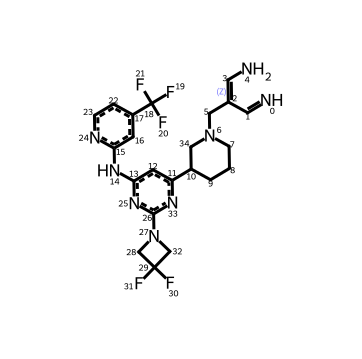 N=C/C(=C\N)CN1CCCC(c2cc(Nc3cc(C(F)(F)F)ccn3)nc(N3CC(F)(F)C3)n2)C1